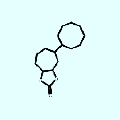 O=C1OC2CCCC(C3CCCCCCC3)CC2O1